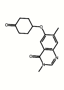 Cc1cc2ncn(C)c(=O)c2cc1OC1CCC(=O)CC1